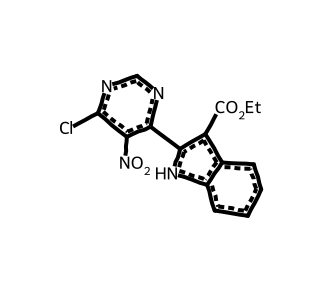 CCOC(=O)c1c(-c2ncnc(Cl)c2[N+](=O)[O-])[nH]c2ccccc12